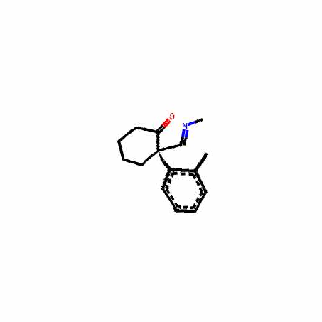 C/N=C/[C@]1(c2ccccc2C)CCCCC1=O